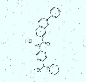 CCC(c1ccc(NC(=O)C2=Cc3cc(-c4ccccc4)ccc3CC2)cc1)N1CCCCC1.Cl